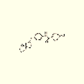 O=C(Nc1ccc(CN2CCC3(CCCO3)C2)cc1)c1ccc(Cl)cc1